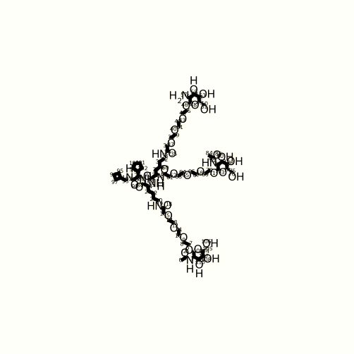 CC(=O)N[C@H]1[C@H](OCCOCCOCCOCC(=O)NCCCCC(NC(=O)C(CCCCNC(=O)COCCOCCOCCO[C@@H]2O[C@H](CO)[C@H](O)[C@H](O)[C@H]2N)NC(=O)COCCOCCOCCO[C@@H]2O[C@H](CO)[C@H](O)[C@H](O)[C@H]2NC(C)=O)C(=O)NC(C(=O)NCC2CCC2)C2CCCC2)O[C@H](CO)[C@H](O)[C@@H]1O